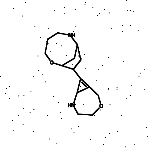 C1CNC2CC(OC1)C(C1=C3COCCNC31)C2